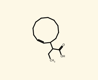 CCC(C(=O)O)C1C=CCCCCCCCCC1